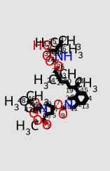 COC(=O)[C@@H]1C[C@@H](OC(=O)N2Cc3cccc(C(C)CCCC(C)(C)COC(=O)N[C@H](C(=O)O)C(C)(C)C)c3C2)CN1C(=O)OC(C)(C)C